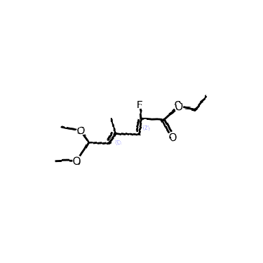 CCOC(=O)/C(F)=C/C(C)=C/C(OC)OC